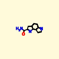 NC(=O)C1=Nc2c3c(ccc2=C1)=NC=C3